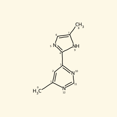 Cc1cc(-c2ncc(C)[nH]2)ncn1